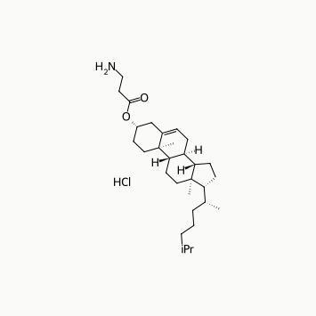 CC(C)CCC[C@@H](C)[C@H]1CC[C@H]2[C@@H]3CC=C4C[C@@H](OC(=O)CCN)CC[C@]4(C)[C@H]3CC[C@]12C.Cl